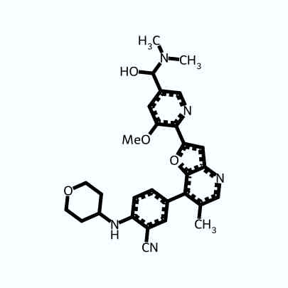 COc1cc(C(O)N(C)C)cnc1-c1cc2ncc(C)c(-c3ccc(NC4CCOCC4)c(C#N)c3)c2o1